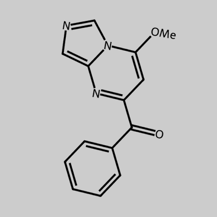 COc1cc(C(=O)c2ccccc2)nc2cncn12